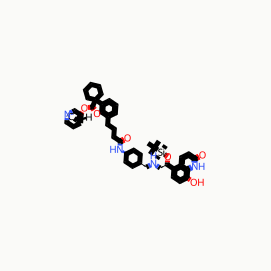 CC(C)(C)[Si](C)(C)O[C@@H](CNC[C@H]1CC[C@H](NC(=O)CCCc2cccc(C3(C(=O)O[C@H]4CN5CCC4CC5)CCCCC3)c2)CC1)c1ccc(O)c2[nH]c(=O)ccc12